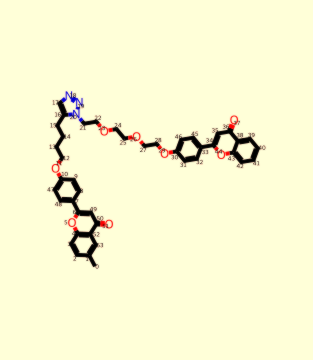 Cc1ccc2oc(-c3ccc(OCCCCc4cnnn4CCOCCOCCOc4ccc(-c5cc(=O)c6ccccc6o5)cc4)cc3)cc(=O)c2c1